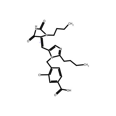 CCCCc1ncc(/C=C2/C(=O)NC(=O)N2CCCC)n1Cc1ccc(C(=O)O)cc1Cl